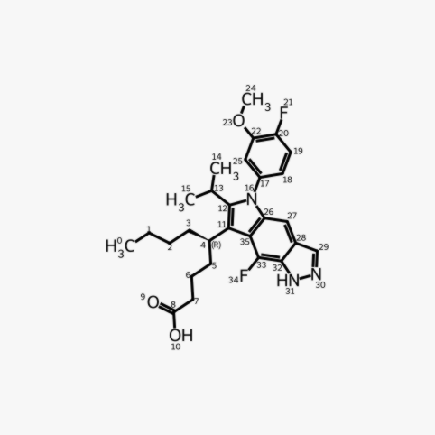 CCCC[C@H](CCCC(=O)O)c1c(C(C)C)n(-c2ccc(F)c(OC)c2)c2cc3cn[nH]c3c(F)c12